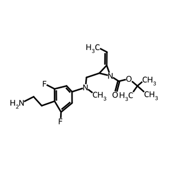 C/C=C1\C(CN(C)c2cc(F)c(CCN)c(F)c2)N1C(=O)OC(C)(C)C